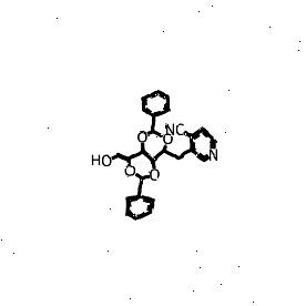 N#Cc1ccncc1CC1OC(c2ccccc2)OC2C(CO)OC(c3ccccc3)OC12